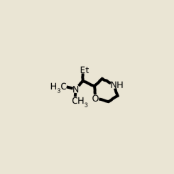 CCC(C1CNCCO1)N(C)C